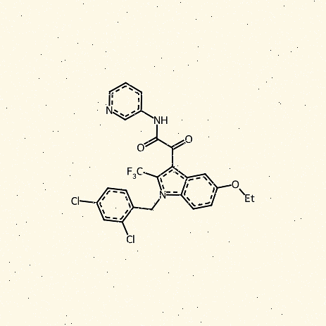 CCOc1ccc2c(c1)c(C(=O)C(=O)Nc1cccnc1)c(C(F)(F)F)n2Cc1ccc(Cl)cc1Cl